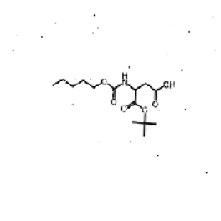 CCCCCOC(=O)NC(CC(=O)O)C(=O)OC(C)(C)C